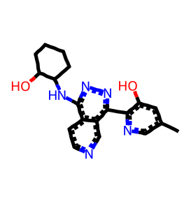 Cc1cnc(-c2nnc(NC3CCCCC3O)c3ccncc23)c(O)c1